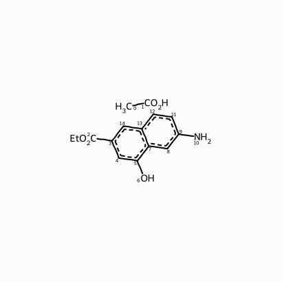 CC(=O)O.CCOC(=O)c1cc(O)c2cc(N)ccc2c1